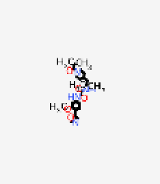 COc1cc(NC(=O)C(=O)NC(C)(C)CC2CCN(C(=O)C(C)C)CC2)ccc1-c1cnco1